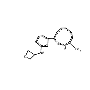 Cc1cccccc(-c2ccnc(NC3COC3)c2)n[nH]1